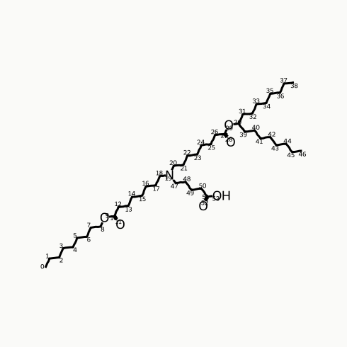 CCCCCCCCCOC(=O)CCCCCCCN(CCCCCCCC(=O)OC(CCCCCCCC)CCCCCCCC)CCCCC(=O)O